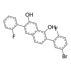 Oc1cc2c(O)c(-c3cc(Br)ccc3F)ccc2cc1-c1ccccc1F